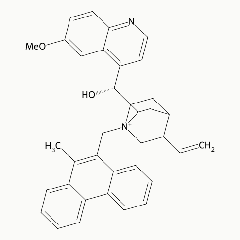 C=CC1C[N+]2(Cc3c(C)c4ccccc4c4ccccc34)CCC1CC2[C@H](O)c1ccnc2ccc(OC)cc12